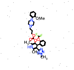 COc1ccccc1N1CCN(CCCOC(=O)OC2=C(C)NC(C)=C(c3nnn(C)n3)C2c2ccccc2OC(F)F)CC1